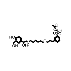 CC(=O)ONS(=O)(=O)c1cccc(CCCOCCCCCCNC[C@@H](O)c2ccc(O)c(CO)c2)c1